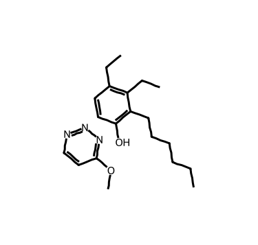 CCCCCCc1c(O)ccc(CC)c1CC.COc1ccnnn1